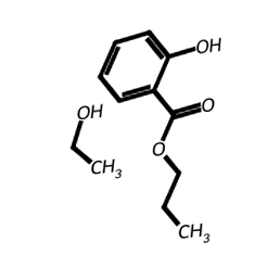 CCCOC(=O)c1ccccc1O.CCO